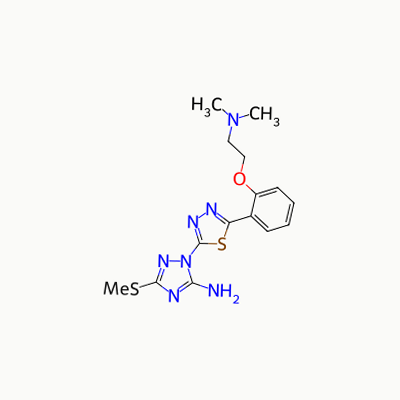 CSc1nc(N)n(-c2nnc(-c3ccccc3OCCN(C)C)s2)n1